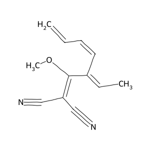 C=C/C=C\C(=C/C)C(OC)=C(C#N)C#N